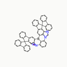 c1ccc2c(c1)-c1ccccc1C21c2ccccc2-c2cc3c4c(ncn4-c4cccc5c4B3c3cc4c(c6ncn-5c36)C3(c5ccccc5-c5ccccc53)c3ccccc3-4)c21